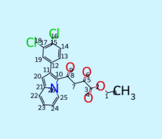 CCOC(=O)C(=O)CC(=O)c1c(-c2ccc(Cl)c(Cl)c2)cc2ccccn12